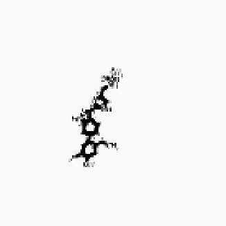 CCc1cc(O)c(F)cc1-c1ccc2c(-c3nc(CNS(C)(=O)=O)c[nH]3)n[nH]c2c1